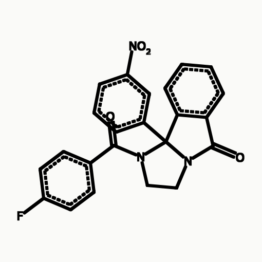 O=C(c1ccc(F)cc1)N1CCN2C(=O)c3ccccc3C12c1cccc([N+](=O)[O-])c1